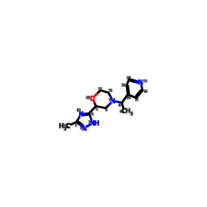 Cc1n[nH]c(C2CN(C(C)c3ccncc3)CCO2)n1